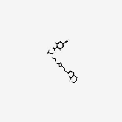 Cc1cc(C#N)cc(Cl)c1C(=O)N[C@@H](CCOC1CC(CCc2ccc3c(n2)NCCC3)C1)C(=O)O